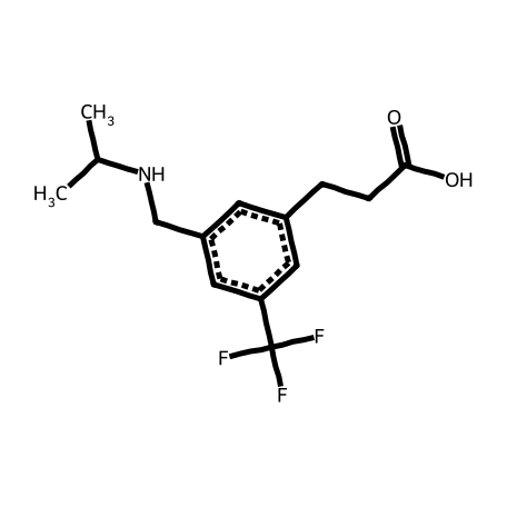 CC(C)NCc1cc(CCC(=O)O)cc(C(F)(F)F)c1